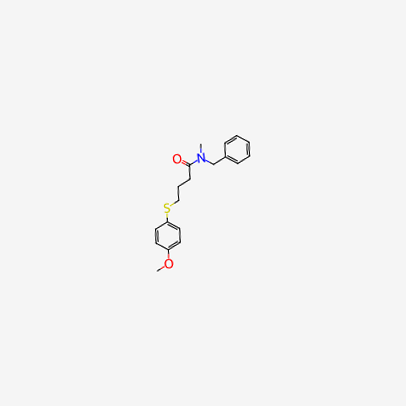 COc1ccc(SCCCC(=O)N(C)Cc2ccccc2)cc1